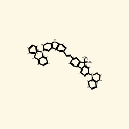 CC1(C)c2cc(/C=C/c3ccc4sc5c(c4c3)C=C(N3c4ccccc4Cc4ccccc43)CC5)ccc2-c2ccc(N3CCCC4=C3CCC=C4)cc21